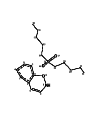 C1=Cc2ccccc2ON1.CCCCCS(=O)(=O)CCCCC